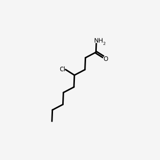 CCCCCC(Cl)CCC(N)=O